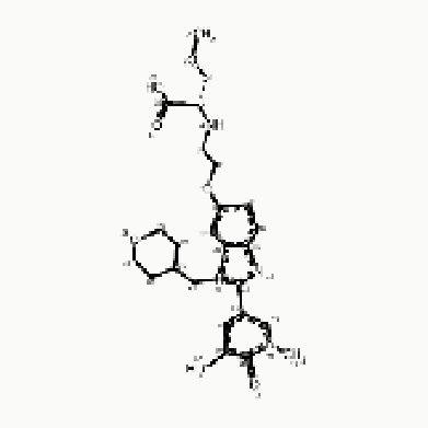 COC[C@H](NCCOc1ccc2nc(-c3cc(C)c(=O)n(C)c3)n(CC3CCOCC3)c2c1)C(=O)O